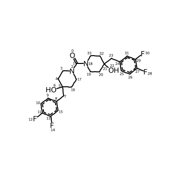 O=C(N1CCC(O)(Cc2ccc(F)c(F)c2)CC1)N1CCC(O)(Cc2ccc(F)c(F)c2)CC1